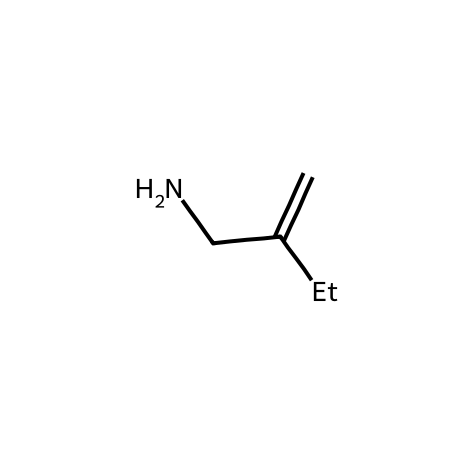 C=C(CC)CN